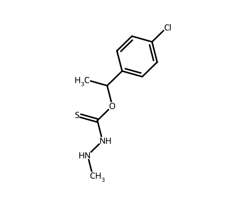 CNNC(=S)OC(C)c1ccc(Cl)cc1